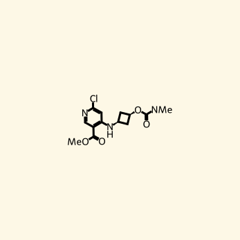 CNC(=O)O[C@H]1C[C@@H](Nc2cc(Cl)ncc2C(=O)OC)C1